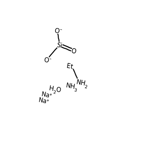 CCN.N.O.O=[Si]([O-])[O-].[Na+].[Na+]